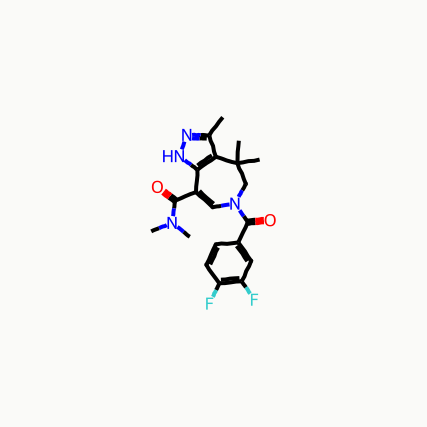 Cc1n[nH]c2c1C(C)(C)CN(C(=O)c1ccc(F)c(F)c1)C=C2C(=O)N(C)C